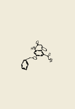 O=C1COc2c(cc(OCc3ccccc3)cc2C(=O)CBr)N1